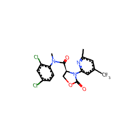 Cc1cc(C(F)(F)F)cc(N2C(=O)OC[C@H]2C(=O)N(C)c2ccc(Cl)cc2Cl)n1